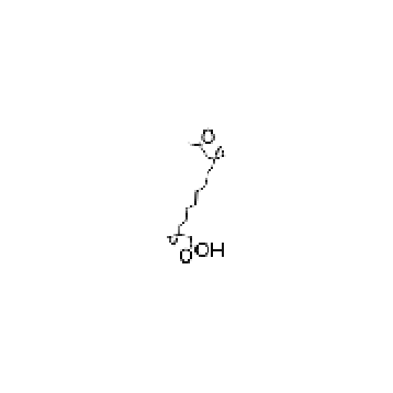 CC(=O)CC1(CCCCCCCCC2(CC(=O)O)CC2)CC1